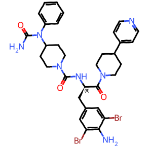 NC(=O)N(c1ccccc1)C1CCN(C(=O)N[C@H](Cc2cc(Br)c(N)c(Br)c2)C(=O)N2CCC(c3ccncc3)CC2)CC1